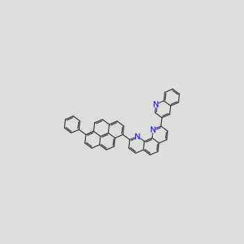 c1ccc(-c2ccc3ccc4c(-c5ccc6ccc7ccc(-c8cnc9ccccc9c8)nc7c6n5)ccc5ccc2c3c54)cc1